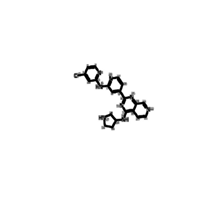 Clc1ccnc(Nc2cc(-c3nc(NC4CCNC4)c4ccncc4n3)ccn2)c1